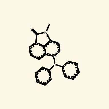 CN1C(=S)c2cccc3c(N(c4ccccc4)c4ccccc4)ccc1c23